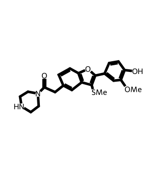 COc1cc(-c2oc3ccc(CC(=O)N4CCNCC4)cc3c2SC)ccc1O